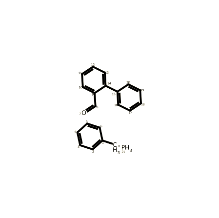 Cc1ccccc1.O=Cc1ccccc1-c1ccccc1.P